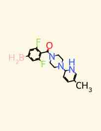 Bc1cc(F)c(C(=O)N2CCN(C3C=CC(C)=CN3)CC2)c(F)c1